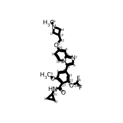 COc1cc(-c2cnc3cc(OCC4CN(C)C4)ccn23)cc(OC(F)F)c1C(=O)NC1CC1